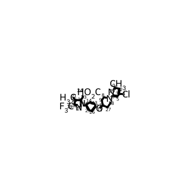 Cc1cc(Cl)cc(N2CCC(Oc3ccc(N4N=C(C(F)(F)F)C(C)C4CC(=O)O)cc3)CC2)n1